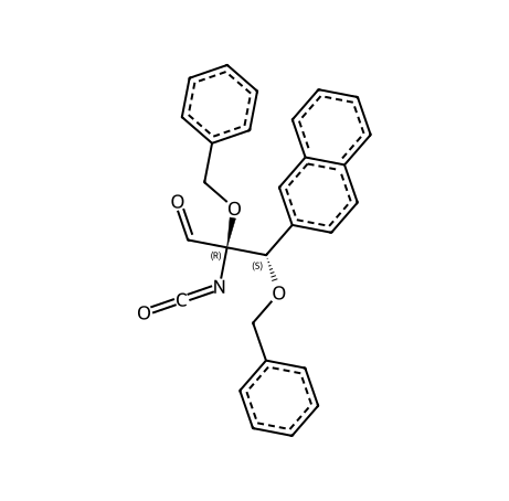 O=C=N[C@@](C=O)(OCc1ccccc1)[C@@H](OCc1ccccc1)c1ccc2ccccc2c1